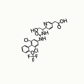 O=C(O)Cc1ccc(C(CO)NC(=O)Nc2cc(Cl)c(-c3ccccc3OC(F)(F)F)c(Cl)c2)nc1